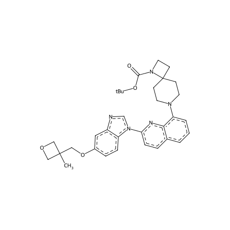 CC1(COc2ccc3c(c2)ncn3-c2ccc3cccc(N4CCC5(CC4)CCN5C(=O)OC(C)(C)C)c3n2)COC1